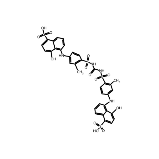 Cc1cc(Nc2cccc3c(S(=O)(=O)O)ccc(O)c23)ccc1S(=O)(=O)NC(=O)NS(=O)(=O)c1ccc(Nc2cccc3c(S(=O)(=O)O)ccc(O)c23)cc1C